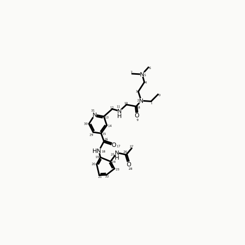 CCN(CCN(C)C)C(=O)CNCc1cc(C(=O)Nc2ccccc2NC(C)=O)ccn1